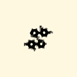 Fc1ccc(-c2cccn[c]2[Ir][c]2ncccc2-c2ccc(F)cc2F)c(F)c1